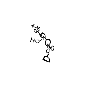 CC(C)(C)OC(=O)N1CCN(C2CCN(C(=O)OCc3ccccc3)CC2)[C@@H](CO)C1